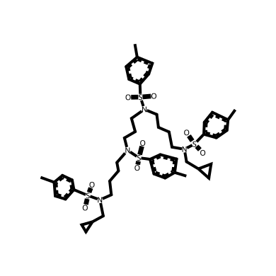 Cc1ccc(S(=O)(=O)N(CCCCN(CC2CC2)S(=O)(=O)c2ccc(C)cc2)CCCN(CCCCN(CC2CC2)S(=O)(=O)c2ccc(C)cc2)S(=O)(=O)c2ccc(C)cc2)cc1